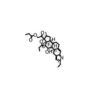 CCC(=O)OCC(=O)[C@@]1(OC(=O)CC)[C@@H](C)C[C@H]2[C@@H]3CCC4=Cc5nn(CC)cc5C[C@]4(C)[C@@]3(F)[C@@H](O)C[C@@]21C